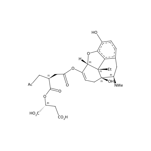 CC[C@]12c3c4ccc(O)c3O[C@H]1C(OC(=O)C[C@H](CC(C)=O)C(=O)O[C@H](CC(=O)O)C(=O)O)=CC[C@@]2(O)[C@H](NC)C4